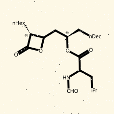 CCCCCCCCCCC[C@H](CC1OC(=O)[C@@H]1CCCCCC)OC(=O)C(CC(C)C)NC=O